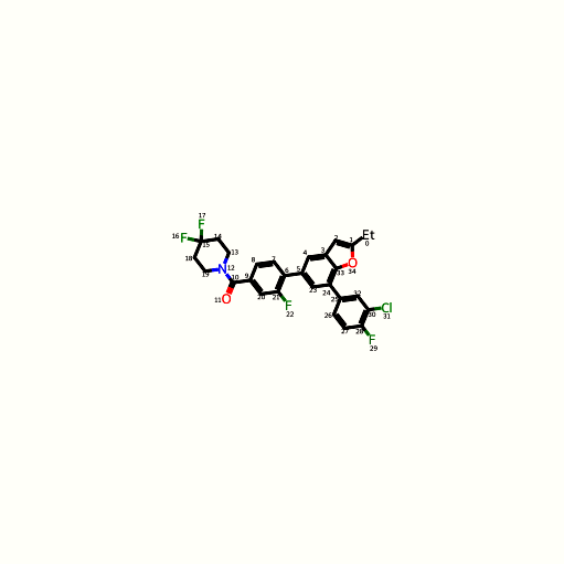 CCc1cc2cc(-c3ccc(C(=O)N4CCC(F)(F)CC4)cc3F)cc(-c3ccc(F)c(Cl)c3)c2o1